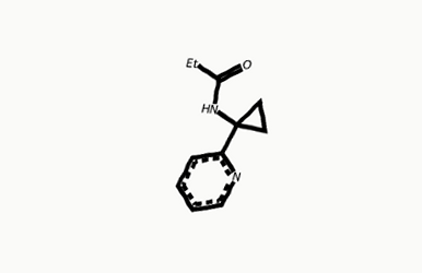 CCC(=O)NC1(c2ccccn2)CC1